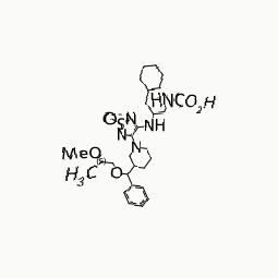 CO[C@@H](C)COC(c1ccccc1)C1CCCN(c2n[s+]([O-])nc2NC(CNC(=O)O)CC2CCCCC2)C1